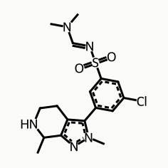 CC1NCCc2c1nn(C)c2-c1cc(Cl)cc(S(=O)(=O)N=CN(C)C)c1